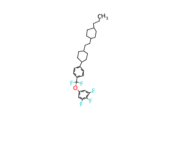 CCCC1CCC(CCC2CCC(c3ccc(C(F)(F)Oc4cc(F)c(F)c(F)c4)cc3)CC2)CC1